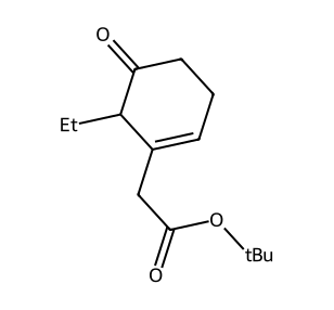 CCC1C(=O)CCC=C1CC(=O)OC(C)(C)C